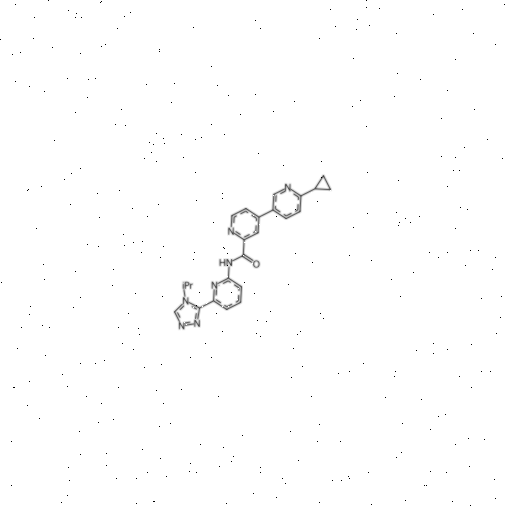 CC(C)n1cnnc1-c1cccc(NC(=O)c2cc(-c3ccc(C4CC4)nc3)ccn2)n1